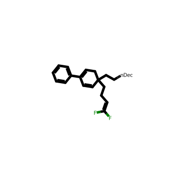 CCCCCCCCCCCCC1(CCC=C(F)F)C=CC(c2ccccc2)=CC1